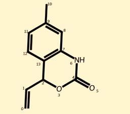 C=CC1OC(=O)Nc2cc(C)ccc21